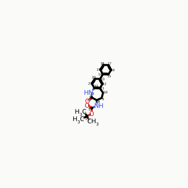 CC(C)(C)OC(=O)NC1CCc2cc(-c3ccccc3)ccc2NC1=O